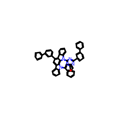 c1ccc(-c2cccc(-c3nc(-c4ccccc4)nc(-n4c5ccccc5c5c(-c6cccc(-c7ccccc7)c6)cc6c7ccccc7n(-c7ccccc7)c6c54)n3)c2)cc1